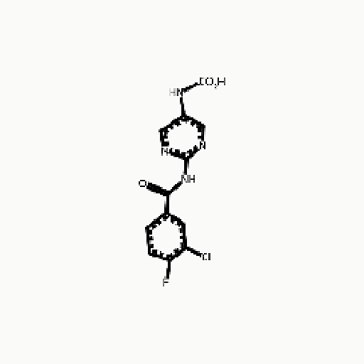 O=C(O)Nc1cnc(NC(=O)c2ccc(F)c(Cl)c2)nc1